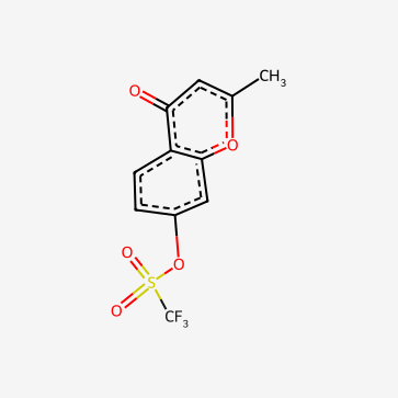 Cc1cc(=O)c2ccc(OS(=O)(=O)C(F)(F)F)cc2o1